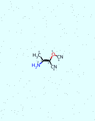 C/C(N)=C(/C#N)OC#N